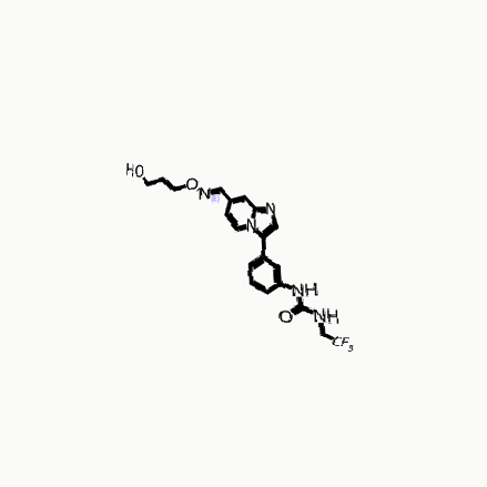 O=C(NCC(F)(F)F)Nc1cccc(-c2cnc3cc(/C=N/OCCCO)ccn23)c1